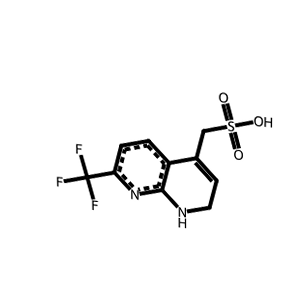 O=S(=O)(O)CC1=CCNc2nc(C(F)(F)F)ccc21